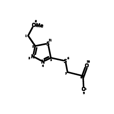 COCc1nnc(SCC([O])=O)s1